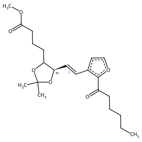 CCCCCC(=O)c1occc1/C=C/[C@H]1OC(C)(C)OC1CCCC(=O)OC